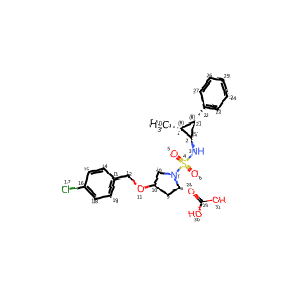 C[C@H]1[C@H](NS(=O)(=O)N2CCC(OCc3ccc(Cl)cc3)C2)[C@H]1c1ccccc1.O=C(O)O